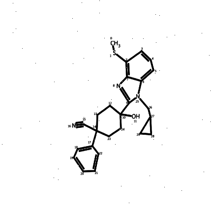 CSc1cccc2c1nc(C1(O)CCC(C#N)(c3ccccc3)CC1)n2CC1CC1